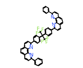 FC(F)(F)C(c1ccc(-c2ccc3ccc4ccc(-c5ccccc5)nc4c3n2)cc1)(c1ccc(-c2ccc3ccc4ccc(-c5ccccc5)nc4c3n2)cc1)C(F)(F)F